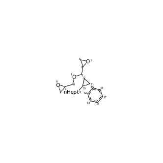 C(OCC1CO1)C1CO1.CCCCCCCC1CC1.c1ccccc1